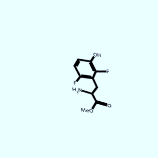 COC(=O)C(N)Cc1c(F)ccc(O)c1F